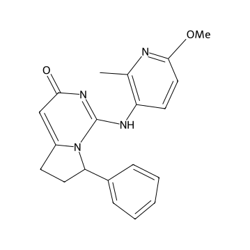 COc1ccc(Nc2nc(=O)cc3n2C(c2ccccc2)CC3)c(C)n1